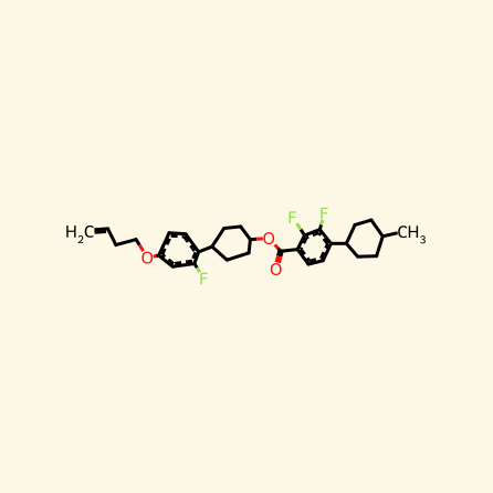 C=CCCOc1ccc(C2CCC(OC(=O)c3ccc(C4CCC(C)CC4)c(F)c3F)CC2)c(F)c1